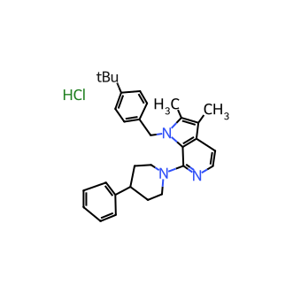 Cc1c(C)n(Cc2ccc(C(C)(C)C)cc2)c2c(N3CCC(c4ccccc4)CC3)nccc12.Cl